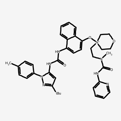 Cc1ccc(-n2nc(C(C)(C)C)cc2NC(=O)Nc2ccc(O[N+]3(CCN(C)C(=O)Nc4ccccn4)CCOCC3)c3ccccc23)cc1